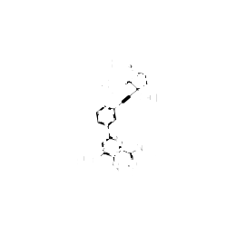 C=C1N(C)CC[C@@]1(O)C#Cc1cccc(-c2cc(C)c(N)c(C(N)=O)n2)c1